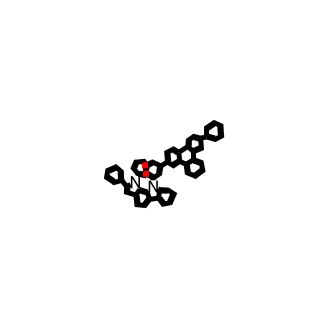 c1ccc(-c2ccc3c4ccc(-c5cccc(-n6c7ccccc7c7ccc8cc(-c9ccccc9)n(-c9ccccc9)c8c76)c5)cc4c4ccccc4c3c2)cc1